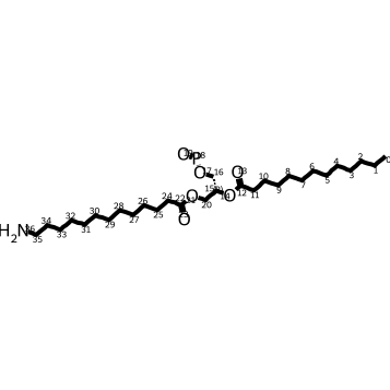 CCCCCCCCCCCCC(=O)O[C@@H](COP=O)COC(=O)CCCCCCCCCCCCN